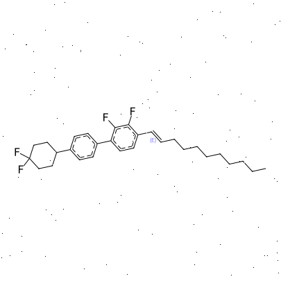 CCCCCCCCC/C=C/c1ccc(-c2ccc(C3CCC(F)(F)CC3)cc2)c(F)c1F